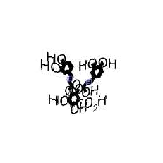 O=C(/C=C/c1ccc(O)c(O)c1)O[C@H]1C(O)C[C@](O)(C(=O)O)CC1OC(O)/C=C/c1ccc(O)c(O)c1